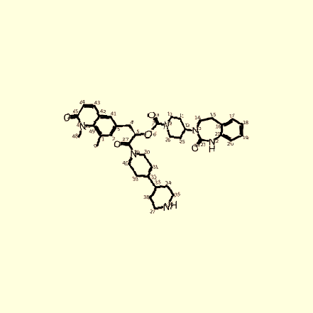 Cc1cc(C[C@@H](OC(=O)N2CCC(N3CCc4ccccc4NC3=O)CC2)C(=O)N2CCC(C3CCNCC3)CC2)cc2ccc(=O)n(C)c12